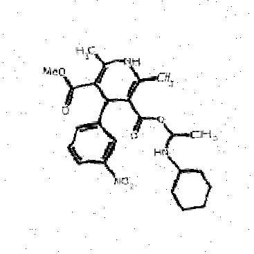 COC(=O)C1=C(C)NC(C)=C(C(=O)OC(C)NC2CCCCC2)C1c1cccc([N+](=O)[O-])c1